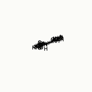 CN1CCC[C@@H]1c1cc2cnc(NC(=O)CCCCCCNc3ccc4c(c3)C(=O)N(C3CCC(=O)NC3=O)C4=O)cc2[nH]1